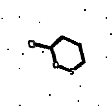 ClC1CCCSO1